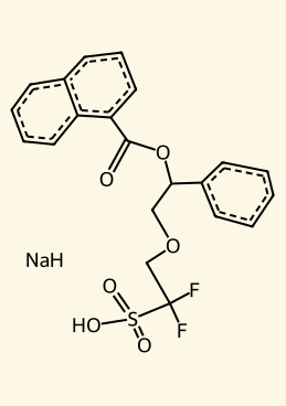 O=C(OC(COCC(F)(F)S(=O)(=O)O)c1ccccc1)c1cccc2ccccc12.[NaH]